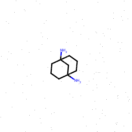 NC12CCCC(N)(CCC1)C2